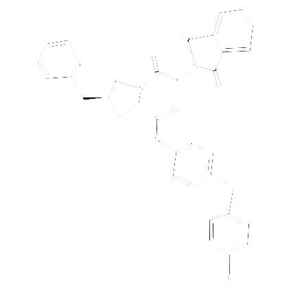 O=C(Nc1ccc(Oc2ccc(F)cc2)cc1)[C@@H]1C[C@@H](Cc2ccccc2)CN1C(=O)CN1C(=O)c2ccccc2C1=O